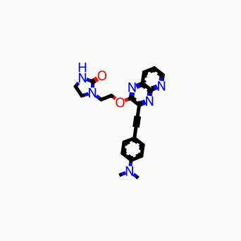 CN(C)c1ccc(C#Cc2nc3ncccc3nc2OCCN2CCNC2=O)cc1